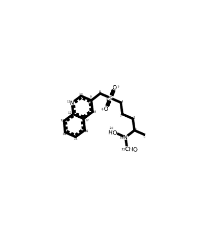 CC(CCCS(=O)(=O)Cc1cnc2ccccc2c1)N(O)C=O